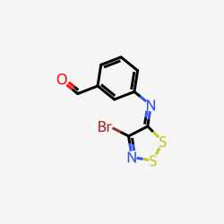 O=Cc1cccc(N=c2ssnc2Br)c1